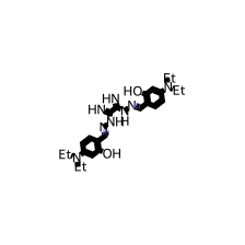 CCN(CC)c1ccc(/C=N/NC(=N)C(=N)N/N=C/c2ccc(N(CC)CC)cc2O)c(O)c1